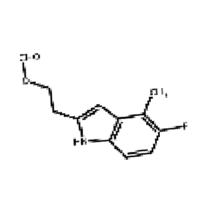 Cc1c(F)ccc2[nH]c(CCOC=O)cc12